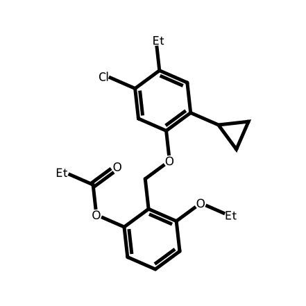 CCOc1cccc(OC(=O)CC)c1COc1cc(Cl)c(CC)cc1C1CC1